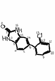 O=c1[nH]c2ccc(-c3ccccc3Cl)cc2[nH]1